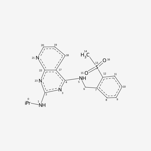 CC(C)Nc1nc(NCc2ccccc2S(C)(=O)=O)c2cccnc2n1